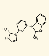 C[C@@H]1Nc2ccccc2N1c1cccc(N2C=CN[C@@H]2C)c1